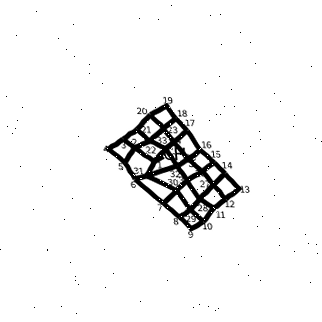 CC12C34C5CC3C3C6C7CC8C9C%10CC%11C%12C%13C%14C%15CC%16C5C45C%16%15C%144C%13%14C%12%13C%10%11C9%10C87C67C31C%14(C254)C%107%13